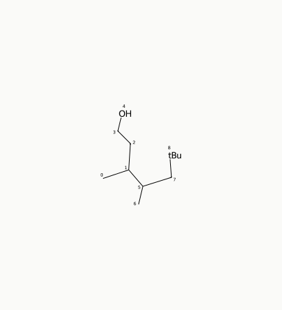 CC(CCO)C(C)CC(C)(C)C